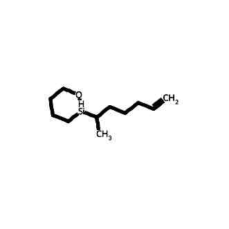 C=CCCCC(C)[SiH]1CCCCO1